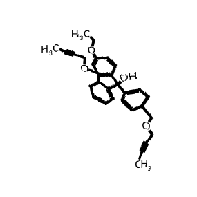 CC#CCOCC1C=CC(C(O)(C2=CC=CCC2COCC#CC)c2ccc(OCC)cc2)=CC1